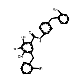 CC(C)c1ccccc1Cc1cc(C(=O)Nc2ccc(Cc3ccccc3C(C)(C)C)cc2)c(O)c(O)c1N=O